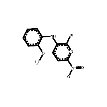 COc1ccccc1Nc1ccc([N+](=O)[O-])nc1Br